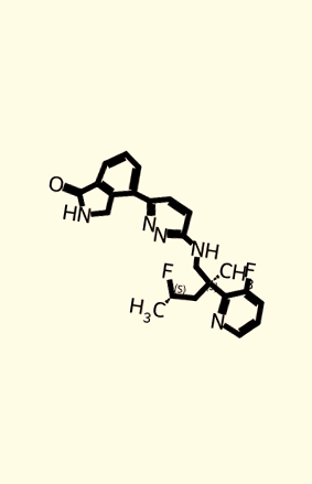 C[C@H](F)C[C@@](C)(CNc1ccc(-c2cccc3c2CNC3=O)nn1)c1ncccc1F